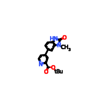 Cn1c(=O)[nH]c2ccc(-c3ccnc(C(=O)OC(C)(C)C)c3)cc21